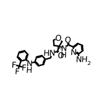 Nc1cccc(C(=O)N[C@@]2(C(=O)NCc3ccc(Nc4ccccc4C(F)(F)F)cc3)CCOC2)n1